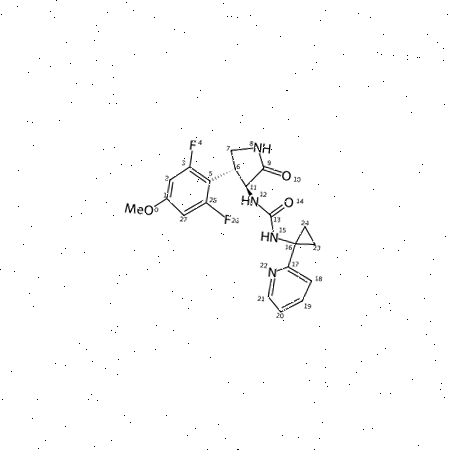 COc1cc(F)c([C@@H]2CNC(=O)[C@H]2NC(=O)NC2(c3ccccn3)CC2)c(F)c1